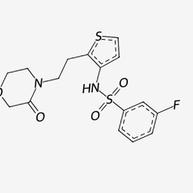 O=C1COCCN1CCc1sccc1NS(=O)(=O)c1cccc(F)c1